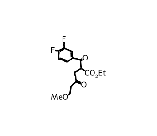 CCOC(=O)C(CC(=O)CCOC)C(=O)c1ccc(F)c(F)c1